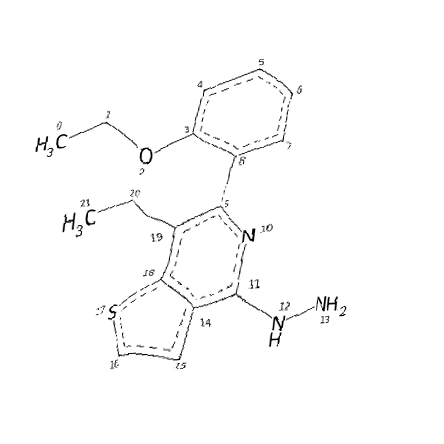 CCOc1ccccc1-c1nc(NN)c2ccsc2c1CC